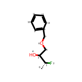 C[C@@H](F)C(O)COCc1ccccc1